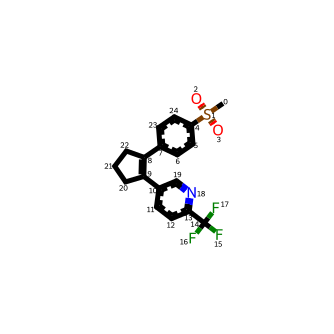 CS(=O)(=O)c1ccc(C2=C(c3ccc(C(F)(F)F)nc3)CCC2)cc1